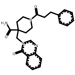 NC(=O)C1(Cn2cnc3ccccc3c2=O)CCN(C(=O)CCc2ccccc2)CC1